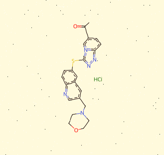 CC(=O)c1ccc2nnc(Sc3ccc4ncc(CN5CCOCC5)cc4c3)n2c1.Cl